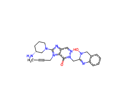 CC#CCn1c(N2CCC[C@@H](N)C2)nc2cnn(CC3=Nc4ccccc4CN3O)c(=O)c21